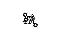 CN(C(=O)OCC1c2ccccc2-c2ccccc21)C(CCc1ccccc1)C(=O)OC(C)(C)C